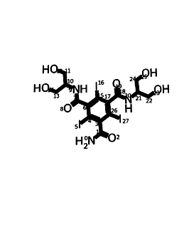 NC(=O)c1c(I)c(C(=O)NC(CO)CO)c(I)c(C(=O)NC(CO)CO)c1I